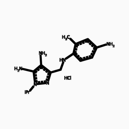 Cc1cc(N)ccc1NCc1nn(C(C)C)c(N)c1N.Cl